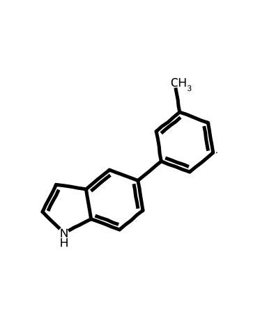 Cc1c[c]cc(-c2ccc3[nH]ccc3c2)c1